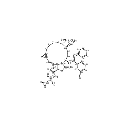 O=C(O)N[C@H]1CCCCC2=C(C2)/N=C\[C@@H]2[C@H](C(=O)NS(=O)(=O)C3CC3)CC(=O)N2[C@H](Oc2nc3ccccc3c3ccc(F)cc23)CCC1=O